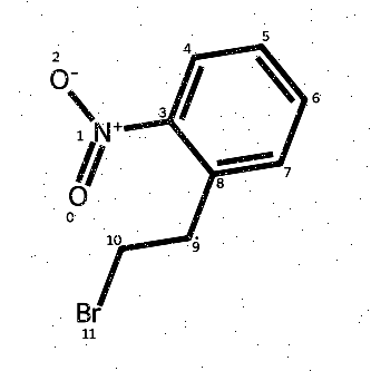 O=[N+]([O-])c1ccccc1[CH]CBr